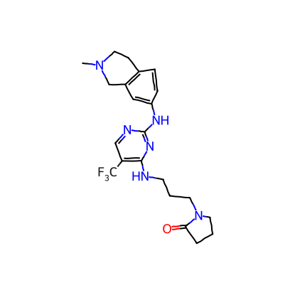 CN1CCc2ccc(Nc3ncc(C(F)(F)F)c(NCCCN4CCCC4=O)n3)cc2C1